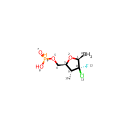 B[C@@H]1O[C@H](CO[PH](=O)O)[C@@H](C)[C@]1(F)Cl